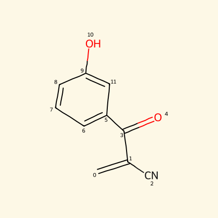 C=C(C#N)C(=O)c1cccc(O)c1